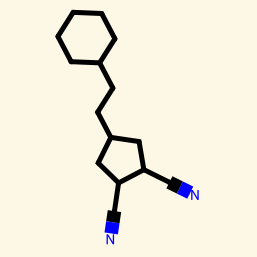 N#CC1CC(CCC2CCCCC2)CC1C#N